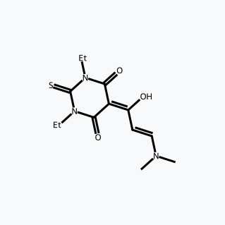 CCN1C(=O)C(=C(O)C=CN(C)C)C(=O)N(CC)C1=S